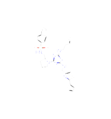 C=CCCNc1nc(NCc2csc(-c3cccs3)n2)nc(N2CCCC2CNS(=O)(=O)c2ccc(CCC)cc2)n1